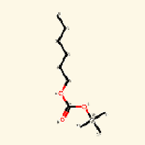 CCCCCCOC(=O)O[Si](C)(C)C